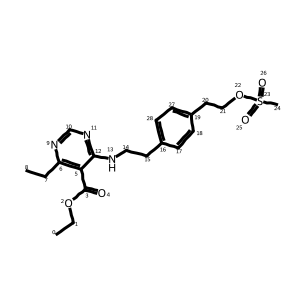 CCOC(=O)c1c(CC)ncnc1NCCc1ccc(CCOS(C)(=O)=O)cc1